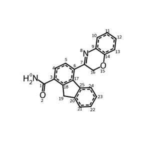 NC(=O)c1ccc(C2=Nc3ccccc3OC2)c2c1Cc1ccccc1-2